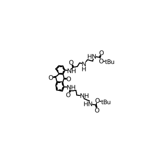 CC(C)(C)OC(=O)NCCNCCC(=O)Nc1cccc2c1C(=O)c1c(NC(=O)CCNCCNC(=O)OC(C)(C)C)cccc1C2=O